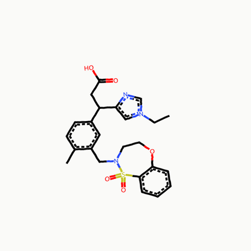 CCn1cnc(C(CC(=O)O)c2ccc(C)c(CN3CCOc4ccccc4S3(=O)=O)c2)c1